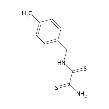 Cc1ccc(CNC(=S)C(N)=S)cc1